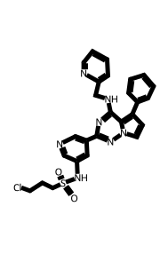 O=S(=O)(CCCCl)Nc1cncc(-c2nc(NCc3ccccn3)c3c(-c4ccccc4)ccn3n2)c1